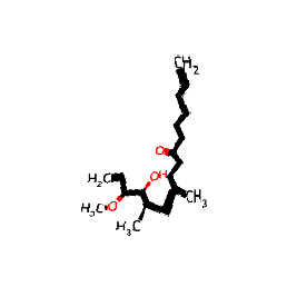 C=CCCCCC(=O)CC/C(C)=C\[C@@H](C)[C@H](O)C(C=C)OC